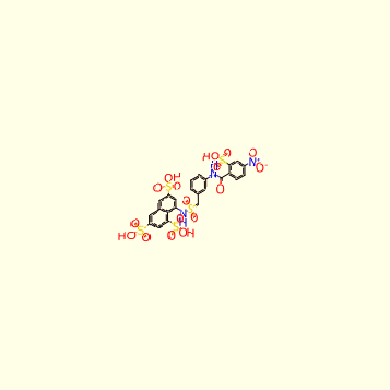 O=C(Nc1cccc(CS(=O)(=O)Nc2cc(S(=O)(=O)O)cc3cc(S(=O)(=O)O)cc(S(=O)(=O)O)c23)c1)c1ccc([N+](=O)[O-])cc1S(=O)(=O)O